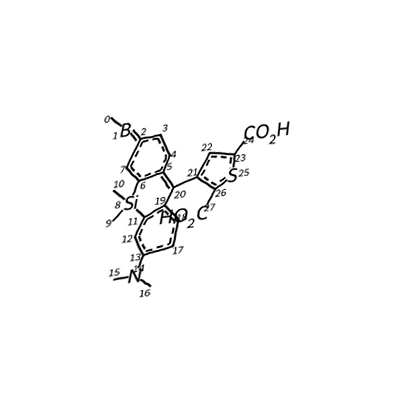 C/B=c1/ccc2c(c1)[Si](C)(C)c1cc(N(C)C)ccc1C=2c1cc(C(=O)O)sc1C(=O)O